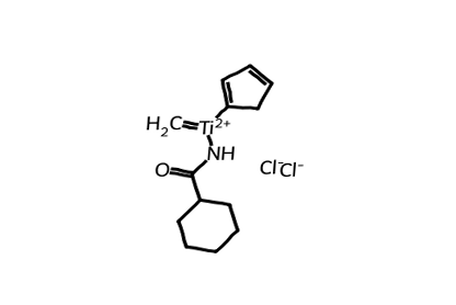 [CH2]=[Ti+2]([NH]C(=O)C1CCCCC1)[C]1=CC=CC1.[Cl-].[Cl-]